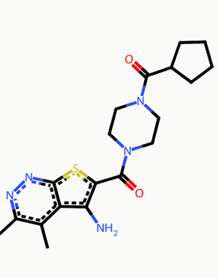 Cc1nnc2sc(C(=O)N3CCN(C(=O)C4CCCC4)CC3)c(N)c2c1C